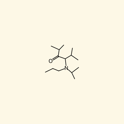 CCCN(C(C)C)C(C(=O)C(C)C)C(C)C